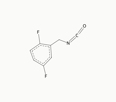 O=C=NCc1cc(F)ccc1F